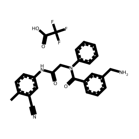 Cc1ccc(NC(=O)CN(C(=O)c2cccc(CN)c2)c2ccccc2)cc1C#N.O=C(O)C(F)(F)F